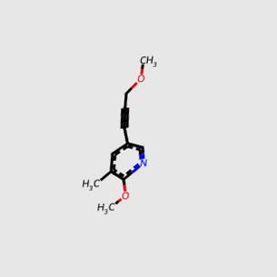 COCC#Cc1cnc(OC)c(C)c1